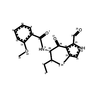 CCC(C)[C@H](NC(=O)c1ccccc1OC)C(=O)c1c(I)c[nH]c1C=O